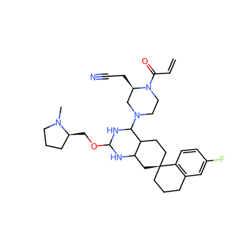 C=CC(=O)N1CCN(C2NC(OC[C@H]3CCCN3C)NC3C[C@@]4(CCCc5cc(F)ccc54)CCC32)C[C@H]1CC#N